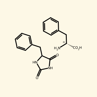 N[C@H](Cc1ccccc1)C(=O)O.O=C1NC(=O)C(Cc2ccccc2)N1